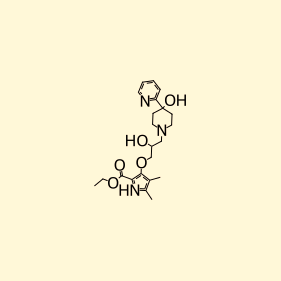 CCOC(=O)c1[nH]c(C)c(C)c1OCC(O)CN1CCC(O)(c2ccccn2)CC1